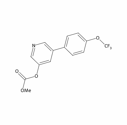 COC(=O)Oc1cncc(-c2ccc(OC(F)(F)F)cc2)c1